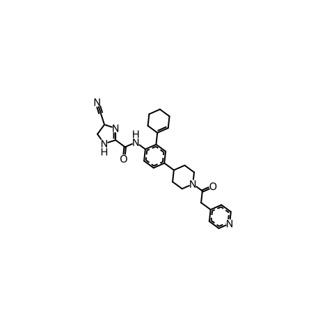 N#CC1CNC(C(=O)Nc2ccc(C3CCN(C(=O)Cc4ccncc4)CC3)cc2C2=CCCCC2)=N1